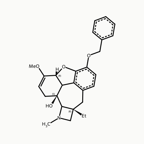 CC[C@]12Cc3ccc(OCc4ccccc4)c4c3C3[C@@H](O4)C(OC)=CC[C@@]3(O)C1N(C)C2